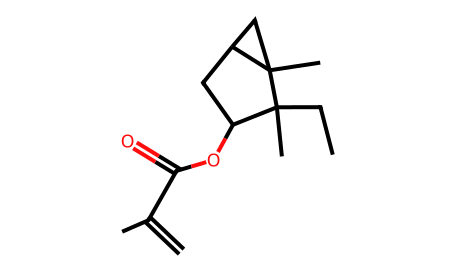 C=C(C)C(=O)OC1CC2CC2(C)C1(C)CC